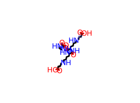 O=C(O)C=CCNCCCCC1NC(=O)C(CCCCNC/C=C/C(=O)O)NC1=O.O=C1NCCNC1=O